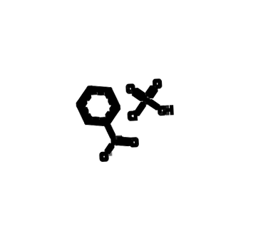 O=S(=O)(O)Cl.O=[N+]([O-])c1ccccc1